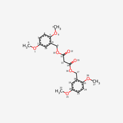 COc1ccc(OC)c(COC(=O)CC(=O)OCc2cc(OC)ccc2OC)c1